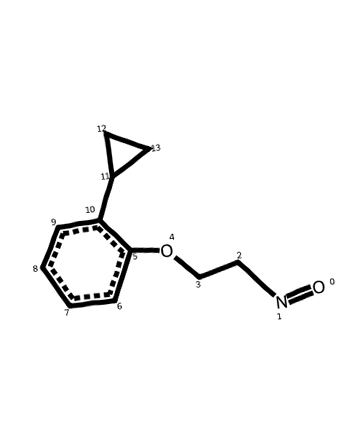 O=NCCOc1ccccc1C1CC1